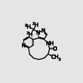 [2H]C([2H])([2H])n1ncc2c1-c1ccnc(c1)CCCCC(C)C(=O)N2